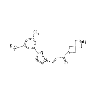 O=C(C=Cn1cnc(-c2cc(C(F)(F)F)cc(C(F)(F)F)c2)n1)N1CC2(CNC2)C1